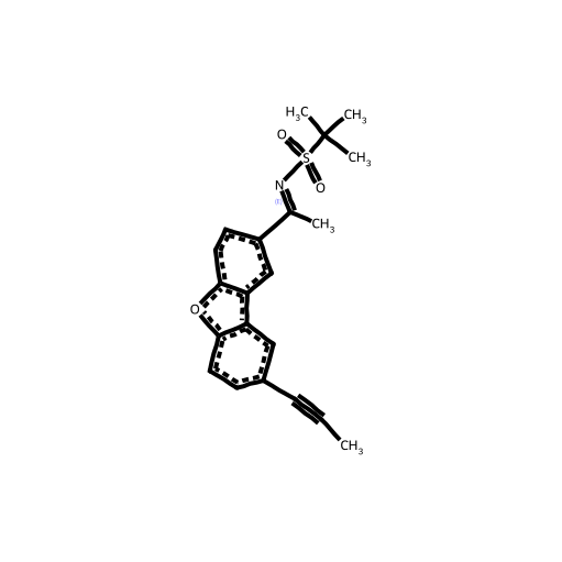 CC#Cc1ccc2oc3ccc(/C(C)=N/S(=O)(=O)C(C)(C)C)cc3c2c1